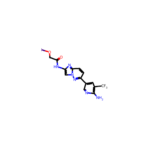 Nc1ncc(-c2ccc3nc(NC(=O)COI)cn3n2)cc1C(F)(F)F